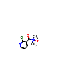 C[N+](C)([O-])C(=O)c1cccnc1Cl